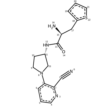 N#Cc1ncccc1N1CC[C@H](NC(=O)[C@@H](N)Cc2cccs2)C1